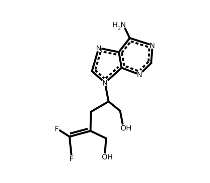 Nc1ncnc2c1ncn2C(CO)CC(CO)=C(F)F